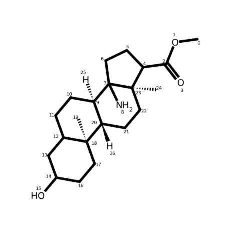 COC(=O)C1CCC2(N)[C@@H]3CCC4CC(O)CC[C@]4(C)[C@H]3CC[C@]12C